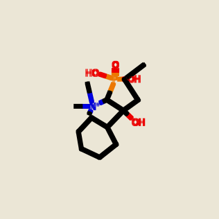 CCCC(O)(C1CCCCC1)C([N+](C)(C)C)P(=O)(O)O